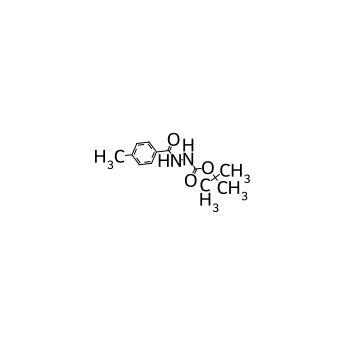 Cc1ccc(C(=O)NNC(=O)OC(C)(C)C)cc1